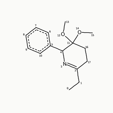 CCC1=NC(c2ccccc2)C(OC)(OC)CC1